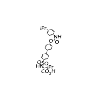 CC(C)c1ccc(NC(=O)Oc2ccc(-c3ccc(S(=O)(=O)NC(C(=O)O)C(C)C)cc3)cc2)cc1